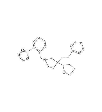 c1ccc(CCC2(C3CCCO3)CCN(Cc3ccccc3-c3ccco3)C2)cc1